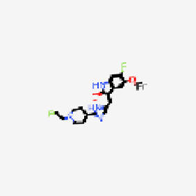 CC(C)Oc1cc2c(cc1F)NC(=O)/C2=C\c1cnc(C2CCN(CCF)CC2)[nH]1